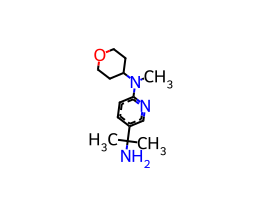 CN(c1ccc(C(C)(C)N)cn1)C1CCOCC1